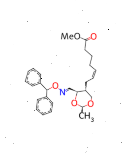 COC(=O)CCC/C=C\C[C@H]1CO[C@@H](C)O[C@H]1/C=N/OC(c1ccccc1)c1ccccc1